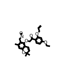 C=CCOc1cc(OCC)ccc1C(=O)COc1c2c(cc(C)c1CN=O)OC(C)(C)C=C2